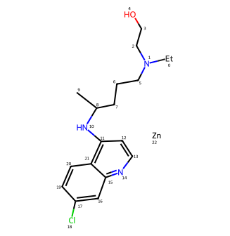 CCN(CCO)CCCC(C)Nc1ccnc2cc(Cl)ccc12.[Zn]